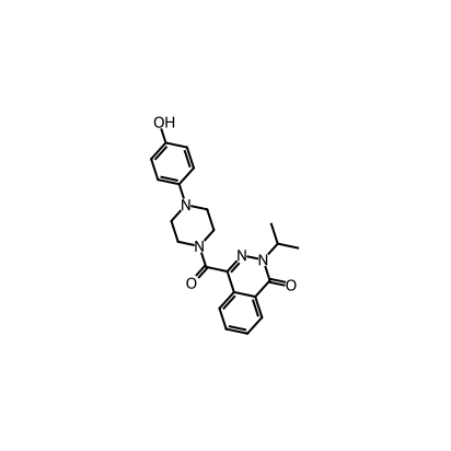 CC(C)n1nc(C(=O)N2CCN(c3ccc(O)cc3)CC2)c2ccccc2c1=O